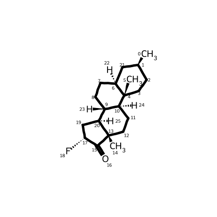 C[C@H]1CC[C@@]2(C)[C@@H](CC[C@@H]3[C@@H]2CC[C@]2(C)C(=O)[C@H](F)C[C@@H]32)C1